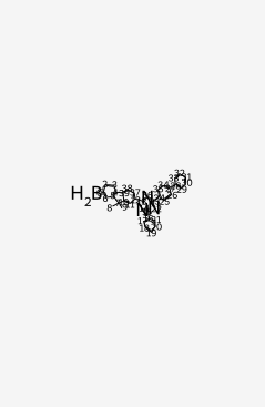 Bc1ccc2c(c1)C(C)(C)c1cc(-c3nc(-c4ccccc4)nc(-c4ccc(-c5ccccc5)cc4)n3)ccc1-2